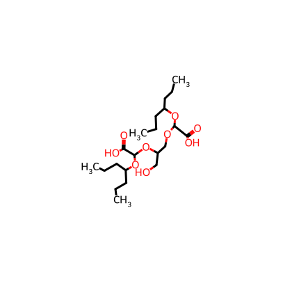 CCCC(CCC)OC(OCC(CO)OC(OC(CCC)CCC)C(=O)O)C(=O)O